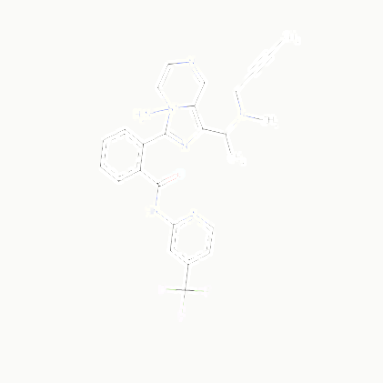 CC#CCN(C)C(C)C1=C2C=NC=C[N+]2(N)C(c2ccccc2C(=O)Nc2cc(C(F)(F)F)ccn2)=N1